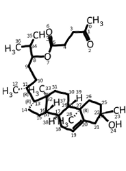 CC(=O)CCC(=O)OC(CC[C@@H](C)[C@H]1CC[C@H]2[C@@H]3CC=C4C[C@@](C)(O)CC[C@]4(C)[C@H]3CC[C@]12C)C(C)C